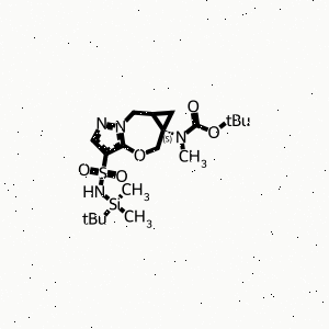 CN(C(=O)OC(C)(C)C)[C@]12COc3c(S(=O)(=O)N[Si](C)(C)C(C)(C)C)cnn3CC1C2